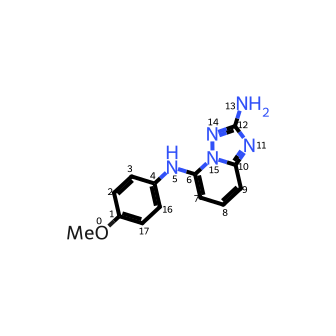 COc1ccc(Nc2cccc3nc(N)nn23)cc1